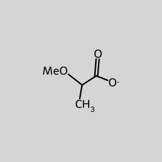 COC(C)C([O])=O